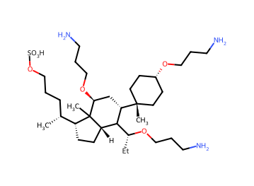 CC[C@@H](OCCCN)C1[C@@H]2CC[C@H]([C@H](C)CCCOS(=O)(=O)O)C2(C)[C@@H](OCCCN)C[C@@H]1[C@]1(C)CC[C@H](OCCCN)CC1